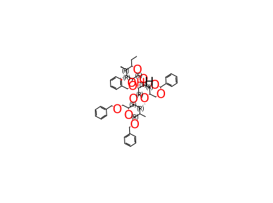 CCC1O[C@@H](O[C@@H]2C(OCc3ccccc3)[C@H](O[C@@H]3C(COCc4ccccc4)O[C@@H](OCc4ccccc4)C(C)[C@H]3C)OC3COC(c4ccccc4)O[C@H]32)C(O)[C@H](C)[C@H]1C